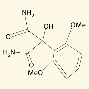 COc1cccc(OC)c1C(O)(C(N)=O)C(N)=O